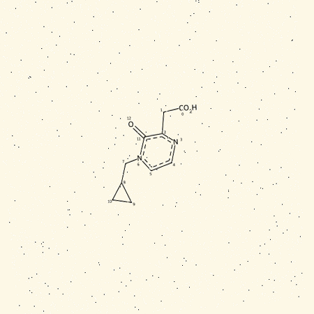 O=C(O)Cc1nccn(CC2CC2)c1=O